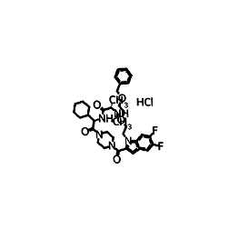 CN[C@@H](C)C(=O)N[C@@H](C(=O)N1CCN(C(=O)c2cc3cc(F)c(F)cc3n2CCOCCOCc2ccccc2)CC1)C1CCCCC1.Cl